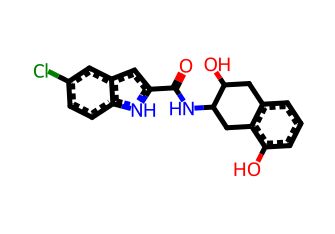 O=C(NC1Cc2c(O)cccc2CC1O)c1cc2cc(Cl)ccc2[nH]1